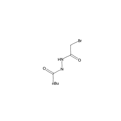 CCCCC(=O)[N]NC(=O)CBr